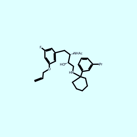 C=CCOc1cc(F)cc(C[C@H](NC(C)=O)[C@@H](O)CNC2(c3cccc(C(C)C)c3)CCCCC2)c1